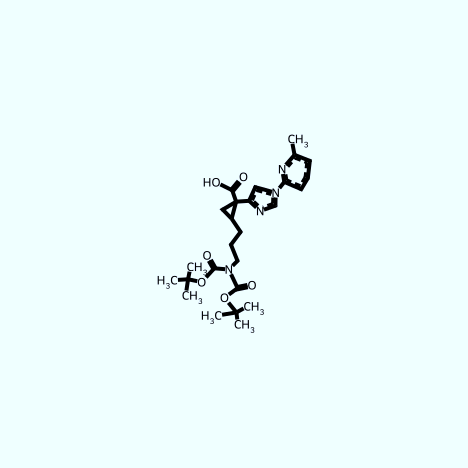 Cc1cccc(-n2cnc(C3(C(=O)O)CC3CCCN(C(=O)OC(C)(C)C)C(=O)OC(C)(C)C)c2)n1